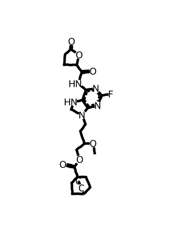 COC(CCN1CNc2c(NC(=O)C3CCC(=O)O3)nc(F)nc21)COC(=O)C12CCC(CC1)CC2